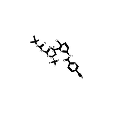 CC(C)(C)OC(=O)NC1=N[C@](C)(c2nc(NC(=O)c3ccc(C#N)cn3)ccc2Cl)C[C@@H](C(F)(F)F)O1